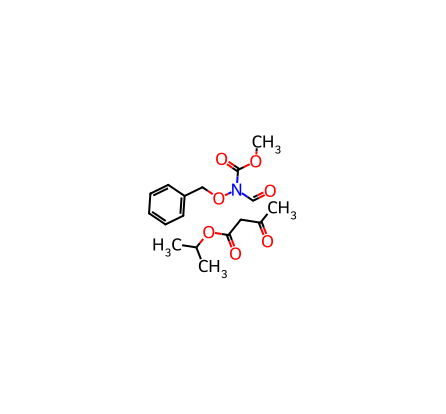 CC(=O)CC(=O)OC(C)C.COC(=O)N(C=O)OCc1ccccc1